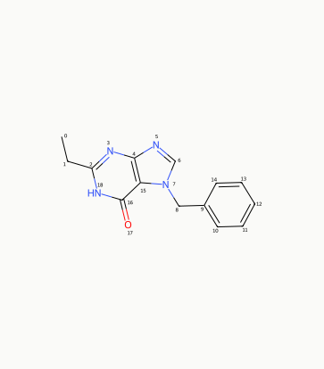 CCc1nc2ncn(Cc3ccccc3)c2c(=O)[nH]1